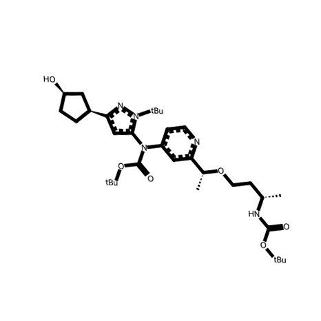 C[C@@H](CCO[C@H](C)c1cc(N(C(=O)OC(C)(C)C)c2cc([C@H]3CC[C@@H](O)C3)nn2C(C)(C)C)ccn1)NC(=O)OC(C)(C)C